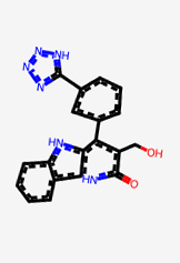 O=c1[nH]c2c([nH]c3ccccc32)c(-c2cccc(-c3nnn[nH]3)c2)c1CO